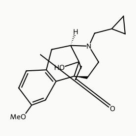 COc1ccc2c(c1)[C@]13CCN(CC4CC4)[C@H](C2)C1(O)CCC(=O)C3